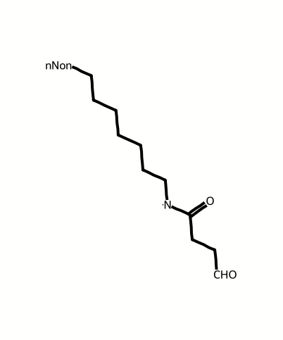 CCCCCCCCCCCCCCCC[N]C(=O)CCC=O